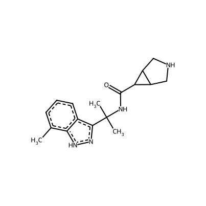 Cc1cccc2c(C(C)(C)NC(=O)C3C4CNCC43)n[nH]c12